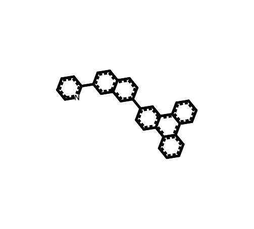 c1ccc(-c2ccc3ccc(-c4ccc5c6ccccc6c6ccccc6c5c4)cc3c2)nc1